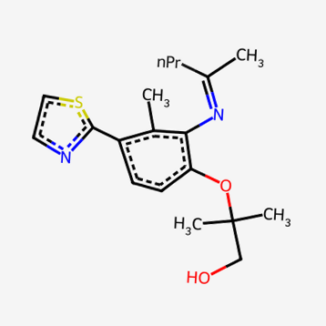 CCC/C(C)=N\c1c(OC(C)(C)CO)ccc(-c2nccs2)c1C